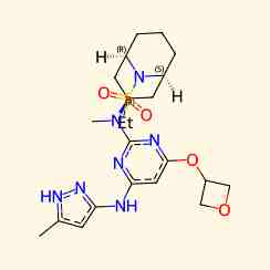 CCS(=O)(=O)N1[C@@H]2CCC[C@H]1C[C@@H](N(C)c1nc(Nc3cc(C)[nH]n3)cc(OC3COC3)n1)C2